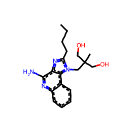 CCCCc1nc2c(N)nc3ccccc3c2n1CC(C)(CO)CO